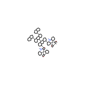 CN1c2ccccc2C2(c3ccccc3-c3ccccc32)c2cccc(-c3cccc4c(-c5c6cccc(-c7cccc8ccccc78)c6cc6c(-c7cccc8ccccc78)cccc56)c5cccc(-c6cccc7c6N(C)c6ccccc6C76c7ccccc7-c7ccccc76)c5cc34)c21